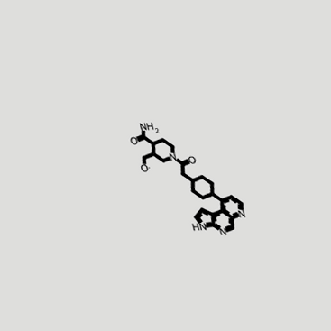 NC(=O)C1CCN(C(=O)CC2CCC(c3ccnc4cnc5[nH]ccc5c34)CC2)CC1C[O]